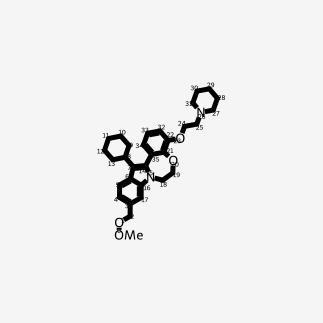 COOCc1ccc2c(C3CCCCC3)c3n(c2c1)CCOc1c(OCCN2CCCCC2)cccc1-3